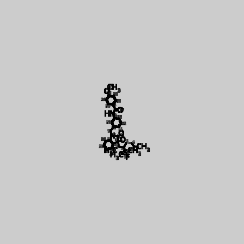 CCC[C@H]1O[C@]2(C(=O)N(Cc3cccc(NC(=O)c4ccc(OC)cc4)c3)c3ccccc32)[C@@H](C)[C@@H]1[Si](C)(C)F